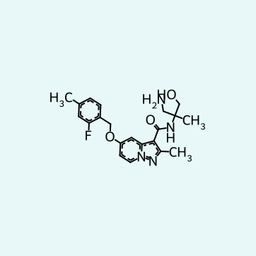 Cc1ccc(COc2ccn3nc(C)c(C(=O)NC(C)(CN)CO)c3c2)c(F)c1